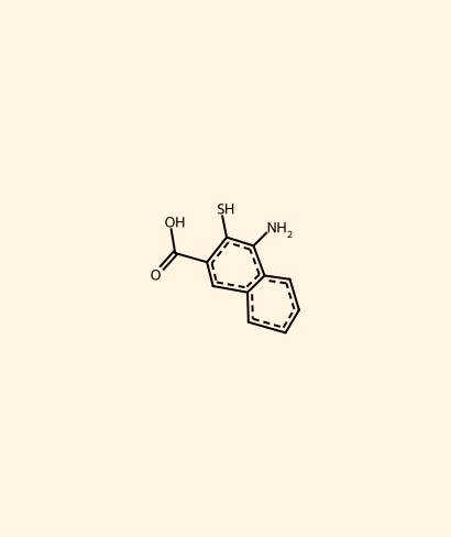 Nc1c(S)c(C(=O)O)cc2ccccc12